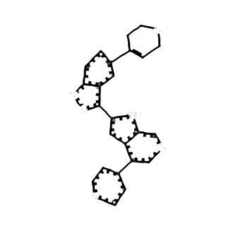 C1=C(c2ccc3[nH]nc(-c4cc5c(-c6ccncc6)cncc5[nH]4)c3c2)CCNC1